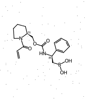 C=CC(=O)N1CCCC[C@H]1COC(=O)N[C@H](CB(O)O)c1ccccc1